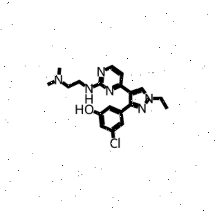 CCn1cc(-c2ccnc(NCCN(C)C)n2)c(-c2cc(O)cc(Cl)c2)n1